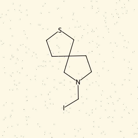 ICN1CCC2(CCSC2)C1